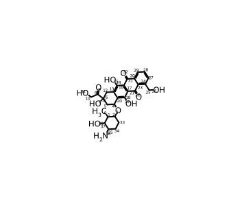 CC1C(OC2C[C@](O)(C(=O)CO)Cc3c(O)c4c(c(O)c32)C(=O)c2c(CO)cccc2C4=O)CCC(N)C1O